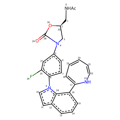 CC(=O)NC[C@H]1CN(c2ccc(-n3ccc4cccc(C5=CC=CC=CN5)c43)c(F)c2)C(=O)O1